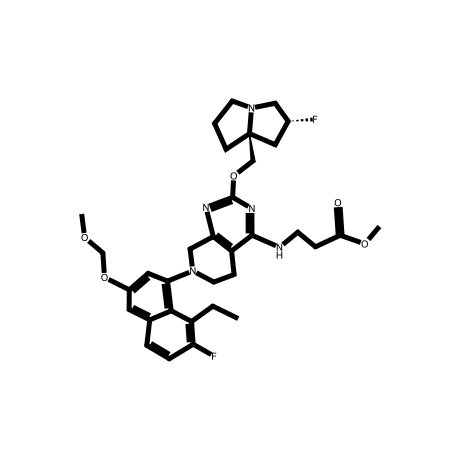 CCc1c(F)ccc2cc(OCOC)cc(N3CCc4c(nc(OC[C@@]56CCCN5C[C@H](F)C6)nc4NCCC(=O)OC)C3)c12